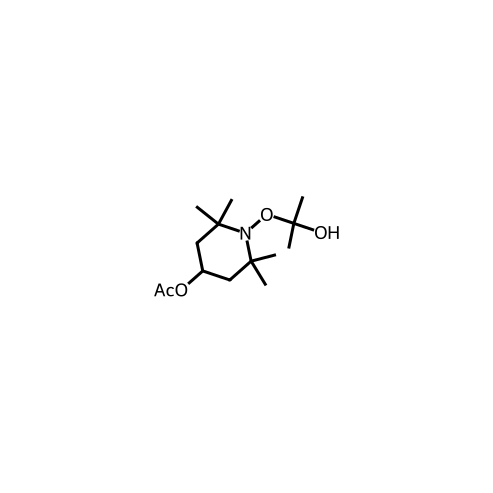 CC(=O)OC1CC(C)(C)N(OC(C)(C)O)C(C)(C)C1